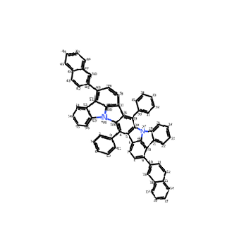 c1ccc(-c2c3c4ccc(-c5ccc6ccccc6c5)c5c6ccccc6n(c3c(-c3ccccc3)c3c6ccc(-c7ccc8ccccc8c7)c7c8ccccc8n(c23)c67)c45)cc1